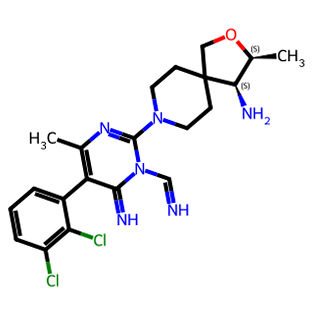 Cc1nc(N2CCC3(CC2)CO[C@@H](C)[C@H]3N)n(C=N)c(=N)c1-c1cccc(Cl)c1Cl